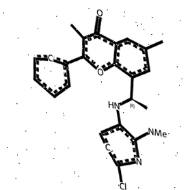 CNc1nc(Cl)ccc1N[C@H](C)c1cc(C)cc2c(=O)c(C)c(-c3ccccc3)oc12